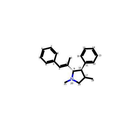 CC(=Cc1ccccc1)[C@@H]1[C@@H](c2ccccc2)C(C)CN1C